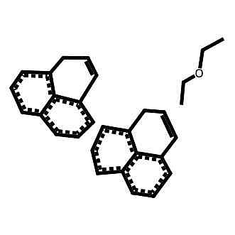 C1=Cc2cccc3cccc(c23)C1.C1=Cc2cccc3cccc(c23)C1.CCOCC